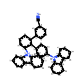 N#Cc1cccc(-c2cccc(-n3c4ccccc4c4ccccc43)c2-c2ccc(-n3c4ccccc4c4ccccc43)cc2)c1